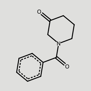 O=C1CCCN(C(=O)c2ccccc2)C1